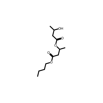 CCCCOC(=O)CC(C)OC(=O)CC(C)O